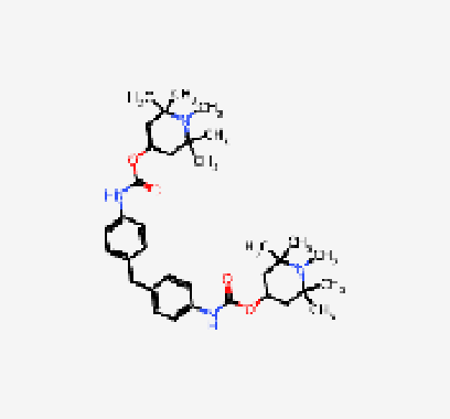 CN1C(C)(C)CC(OC(=O)Nc2ccc(Cc3ccc(NC(=O)OC4CC(C)(C)N(C)C(C)(C)C4)cc3)cc2)CC1(C)C